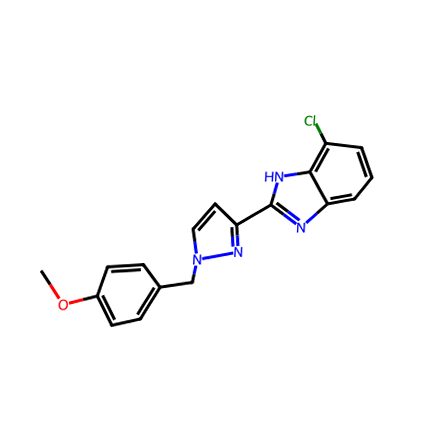 COc1ccc(Cn2ccc(-c3nc4cccc(Cl)c4[nH]3)n2)cc1